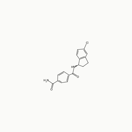 NC(=O)c1ccc(C(=O)N[C@@H]2CCc3cc(Cl)ccc32)cc1